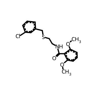 COc1cccc(OC)c1C(=O)NCCSCc1cccc(Cl)c1